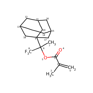 C=C(C)C(=O)OC(C)(C(F)(F)F)C12CC3CC(CC(C3)C1)C2